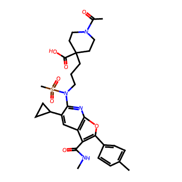 CNC(=O)c1c(-c2ccc(C)cc2)oc2nc(N(CCCC3(C(=O)O)CCN(C(C)=O)CC3)S(C)(=O)=O)c(C3CC3)cc12